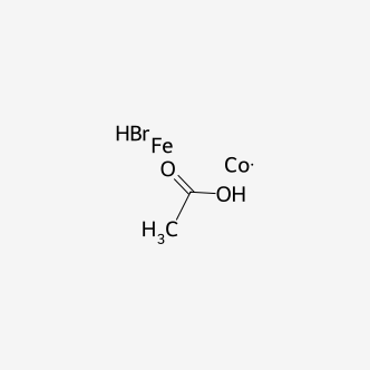 Br.CC(=O)O.[Co].[Fe]